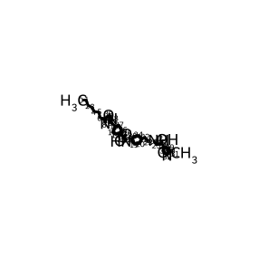 CCCCCCCc1nc(-c2ccc(S(=O)(=O)Nc3ccc(CCNCC(O)c4cc(C)no4)cc3)cc2)no1